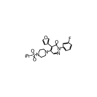 CC(C)S(=O)(=O)N1CCN(c2cnn(-c3cccc(F)c3)c(=O)c2-c2ccoc2)CC1